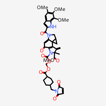 C=C1C2=C(C(=O)C=C3N(C(=O)c4cc5cc(OC)c(OC)c(OC)c5[nH]4)CC4CC324)N(C(=O)OCOC(=O)C2CCC(CN3C(=O)C=CC3=O)CC2)C1(C)C(=O)OC